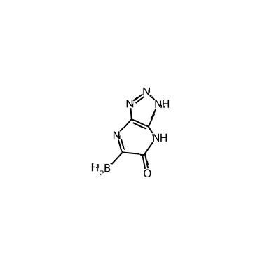 Bc1nc2nn[nH]c2[nH]c1=O